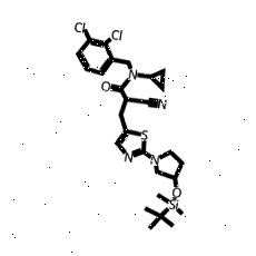 CC(C)(C)[Si](C)(C)OC1CCN(c2ncc(CC(C#N)C(=O)N(Cc3cccc(Cl)c3Cl)C3CC3)s2)C1